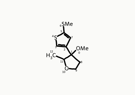 COC1(c2csc(SC)c2)CCOC1C